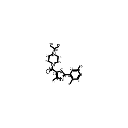 Cc1ccc(C)c(-c2nc(C)c(C(=O)N3CCN(C(C)C)CC3)s2)c1